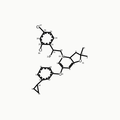 CC1(C)CC2C(=CC(Oc3cccc(C4CC4)c3)=CN2CC(F)c2ccc(Cl)cc2Cl)O1